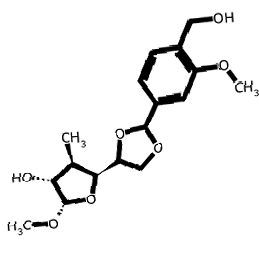 COc1cc(C2OCC([C@H]3O[C@H](OC)[C@H](O)[C@H]3C)O2)ccc1CO